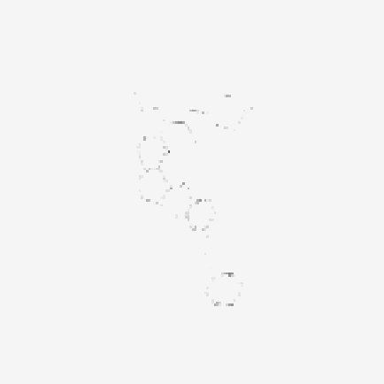 N#Cc1cnc2cc(OC3CCOC3)c(NC(=O)C=C3CCNCC3)cc2c1Nc1ccc(OCc2ccccc2)nc1